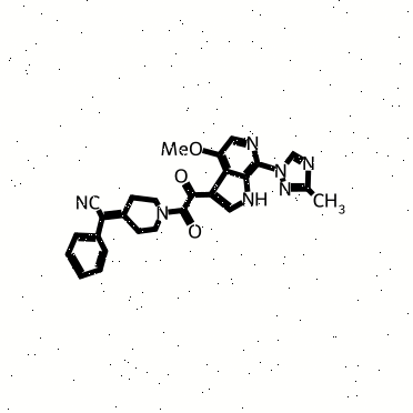 COc1cnc(-n2cnc(C)n2)c2[nH]cc(C(=O)C(=O)N3CCC(=C(C#N)c4ccccc4)CC3)c12